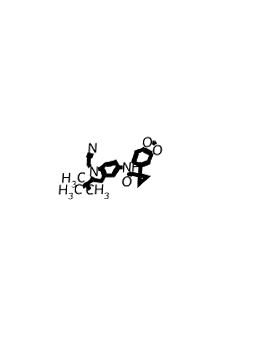 CC(C)(C)C1Cc2cc(NC(=O)C3(c4ccc5c(c4)OCO5)CC3)ccc2N1CC#N